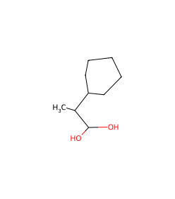 CC(C(O)O)C1CCCCC1